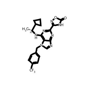 C[C@@H](Nc1nc(-c2noc(=O)[nH]2)nc2ncn(Cc3ccc(C(F)(F)F)cc3)c12)C1CCC1